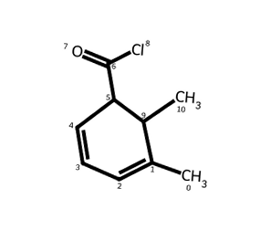 CC1=CC=CC(C(=O)Cl)C1C